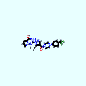 Cc1c(C(=O)N2CCN(c3ccc(C(F)(F)F)cc3)CC2)cnn1-c1nn2cccc2c(=O)[nH]1